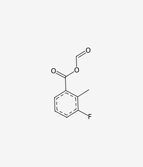 Cc1c(F)cccc1C(=O)OC=O